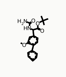 COc1cc(C(NC(N)=O)C(=O)OC(C)(C)C)ccc1-c1ccccc1